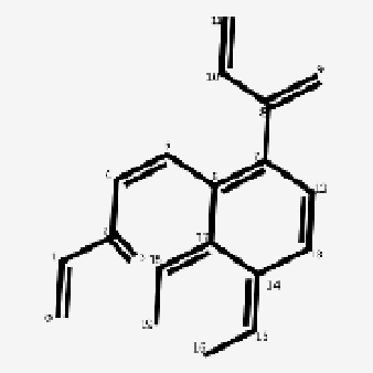 C=CC(=C)/C=C\c1c(C(=C)C=C)ccc(=C/C)/c1=C\C